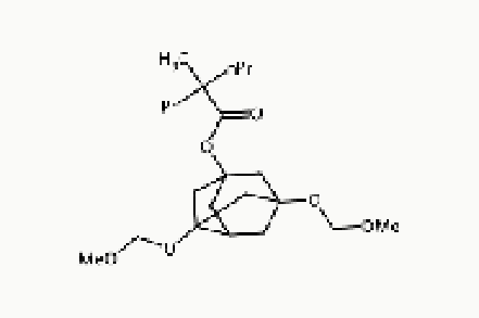 CCCC(C)(C(=O)OC12CC3CC(OCOC)(C1)CC3(OCOC)C2)C(C)C